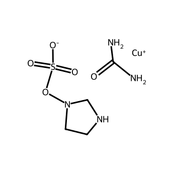 NC(N)=O.O=S(=O)([O-])ON1CCNC1.[Cu+]